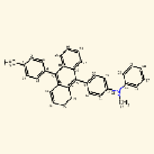 Cc1ccc(-c2c3c(c(-c4ccc(N(C)c5ccccc5)cc4)c4ccccc24)CCC=C3)cc1